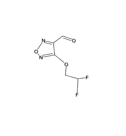 O=Cc1nonc1OCC(F)F